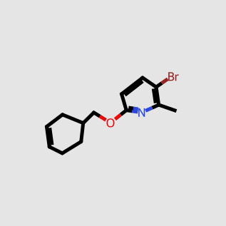 Cc1nc(OCC2CC=CCC2)ccc1Br